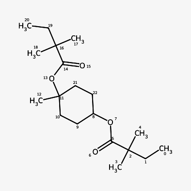 CCC(C)(C)C(=O)OC1CCC(C)(OC(=O)C(C)(C)CC)CC1